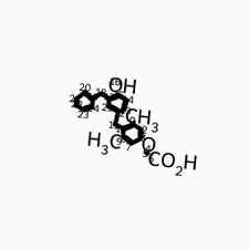 Cc1cc(OCC(=O)O)cc(C)c1Cc1ccc(O)c(Cc2ccccc2)c1